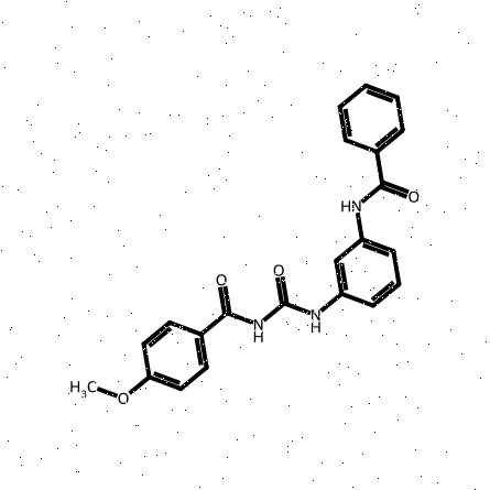 COc1ccc(C(=O)NC(=O)Nc2cccc(NC(=O)c3ccccc3)c2)cc1